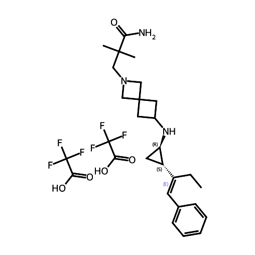 CC/C(=C\c1ccccc1)[C@@H]1C[C@H]1NC1CC2(C1)CN(CC(C)(C)C(N)=O)C2.O=C(O)C(F)(F)F.O=C(O)C(F)(F)F